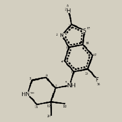 [2H]c1nc2cc(NC3CCNCC3(C)C)c(F)cc2s1